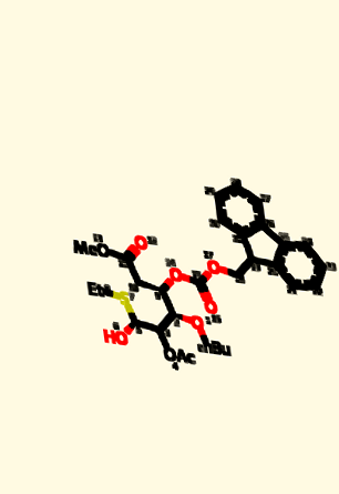 CCCCO[C@@H](C(OC(C)=O)[C@@H](O)SCC)[C@@H](CC(=O)OC)OC(=O)OCC1c2ccccc2-c2ccccc21